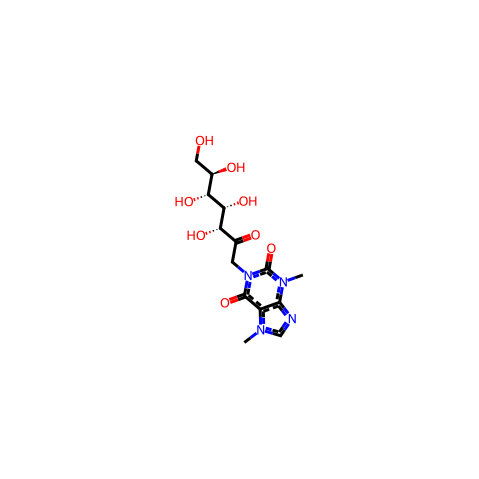 Cn1cnc2c1c(=O)n(CC(=O)[C@H](O)[C@@H](O)[C@H](O)[C@H](O)CO)c(=O)n2C